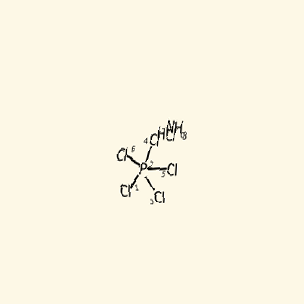 Cl.ClP(Cl)(Cl)(Cl)Cl.N